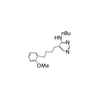 CCCCNc1ncncc1CCCCc1ccccc1OC